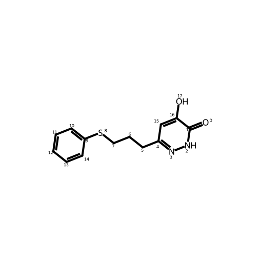 O=c1[nH]nc(CCCSc2ccccc2)cc1O